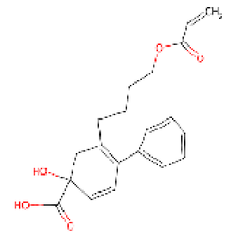 C=CC(=O)OCCCCC1=C(c2ccccc2)C=CC(O)(C(=O)O)C1